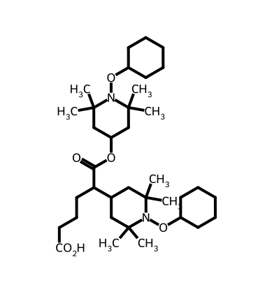 CC1(C)CC(OC(=O)C(CCCC(=O)O)C2CC(C)(C)N(OC3CCCCC3)C(C)(C)C2)CC(C)(C)N1OC1CCCCC1